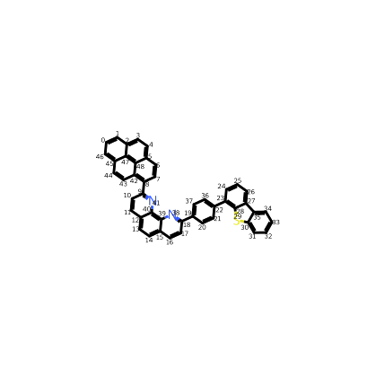 c1cc2ccc3ccc(-c4ccc5ccc6ccc(-c7ccc(-c8cccc9c8sc8ccccc89)cc7)nc6c5n4)c4ccc(c1)c2c34